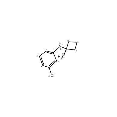 CC1(Nc2cccc(Cl)c2)CCC1